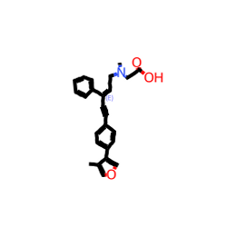 Cc1cocc1-c1ccc(C#C/C(=C/CN(C)CC(=O)O)c2ccccc2)cc1